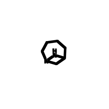 C1CCN2CC(C1)N2